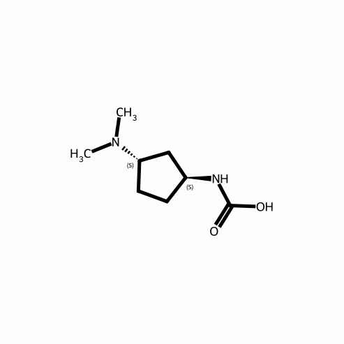 CN(C)[C@H]1CC[C@H](NC(=O)O)C1